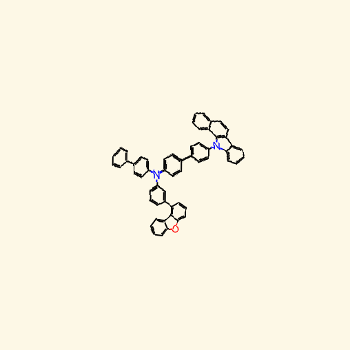 c1ccc(-c2ccc(N(c3ccc(-c4ccc(-n5c6ccccc6c6ccc7ccccc7c65)cc4)cc3)c3cccc(-c4cccc5oc6ccccc6c45)c3)cc2)cc1